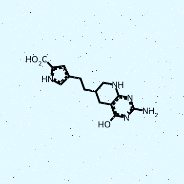 Nc1nc(O)c2c(n1)NCC(CCc1c[nH]c(C(=O)O)c1)C2